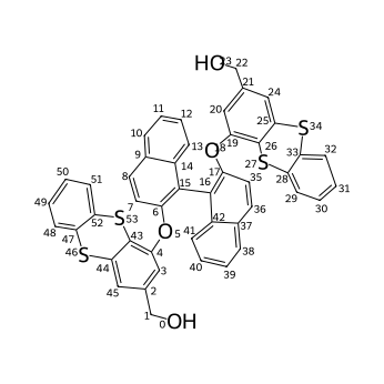 OCc1cc(Oc2ccc3ccccc3c2-c2c(Oc3cc(CO)cc4c3Sc3ccccc3S4)ccc3ccccc23)c2c(c1)Sc1ccccc1S2